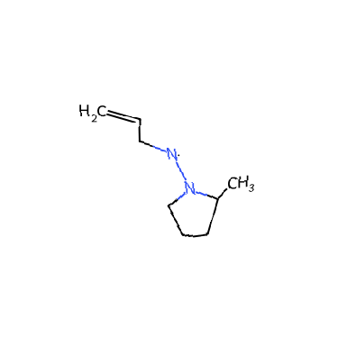 C=CC[N]N1CCCC1C